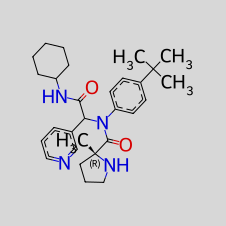 CC(C)(C)c1ccc(N(C(=O)[C@@]2(C)CCCN2)C(C(=O)NC2CCCCC2)c2cccnc2)cc1